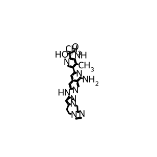 Cc1c(-c2cc3cc(Nc4cc5n(n4)Cc4nccn4CC5)ncc3c(N)n2)cnc2c1NC(=O)[C@]2(C)O